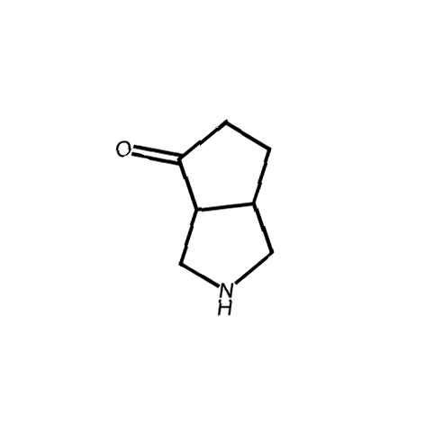 O=C1CCC2CNCC12